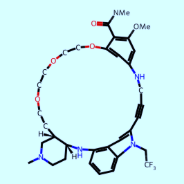 CNC(=O)c1c(OC)cc2cc1OCCOCCOCC[C@H]1CN(C)CC[C@H]1Nc1cccc3c1cc(n3CC(F)(F)F)C#CCN2